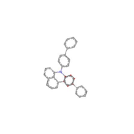 c1ccc(-c2ccc(N(c3ccc(-c4ccccc4)cc3)c3cccc4cccc(-c5ccccc5)c34)cc2)cc1